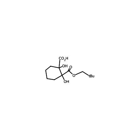 CC(C)(C)COC(=O)C1(O)CCCCC1(O)C(=O)O